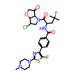 CN1CCN(c2nc(-c3ccc(C(=O)NC(CC(C)(C)F)C(=O)N4CC(Cl)C5OCC(=O)C54)cc3)c(F)s2)CC1